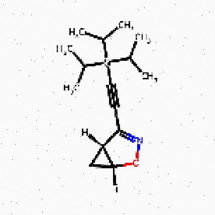 CC(C)[Si](C#CC1=NO[C@@H]2C[C@H]12)(C(C)C)C(C)C